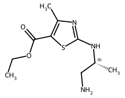 CCOC(=O)c1sc(N[C@H](C)CN)nc1C